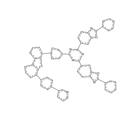 c1ccc(-c2nc3ccc(-c4nc(-c5ccc(-c6cccc7c6sc6c(-c8ccc(-c9cccnc9)cc8)cccc67)cc5)nc(-c5ccc6nc(-c7ccccc7)oc6c5)n4)cc3o2)cc1